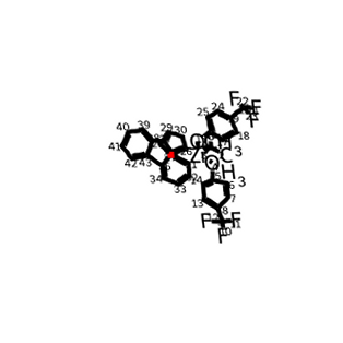 C[C](C)=[Zr]([O]c1ccc(C(F)(F)F)cc1)([O]c1ccc(C(F)(F)F)cc1)([C]1=CC=CC1)[c]1cccc2c1Cc1ccccc1-2